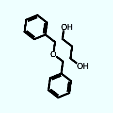 OCCCO.c1ccc(COCc2ccccc2)cc1